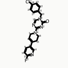 O=c1nc(N2CC=C(c3ccc(F)nc3)CC2)ncn1Cc1ccc(Cl)cc1